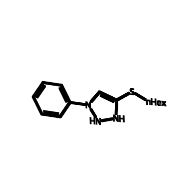 CCCCCCSC1=CN(c2ccccc2)NN1